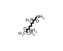 C=C(C)C(=O)C(N)CCCCC(N)C(=O)CN